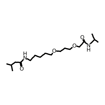 CC(C)CC(=O)NCCCCCOCCCOCC(=O)NC(C)C